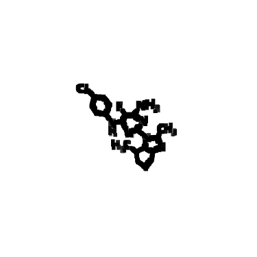 Cc1nc2c(n1-c1nc(N)c(F)c(Nc3ccc(Cl)cc3)n1)C(C)CC=C2